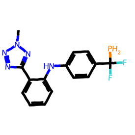 Cn1nnc(-c2ccccc2Nc2ccc(C(F)(F)P)cc2)n1